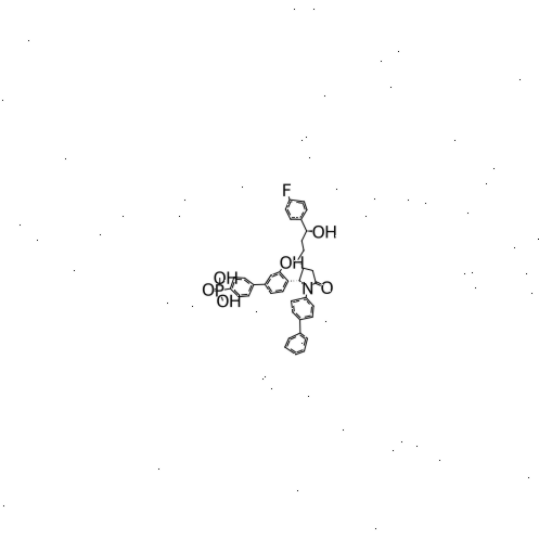 O=C1C[C@@H](CCC[C@H](O)c2ccc(F)cc2)[C@@H](c2ccc(-c3ccc(P(=O)(O)O)cc3)cc2O)N1c1ccc(-c2ccccc2)cc1